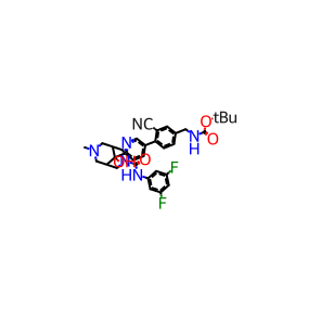 CN1CC2CN(C(=O)Nc3cc(F)cc(F)c3)CC(C1)C2(O)c1ccc(-c2ccc(CNC(=O)OC(C)(C)C)cc2C#N)cn1